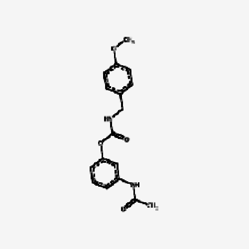 COc1ccc(CNC(=O)Oc2cccc(NC(C)=O)c2)cc1